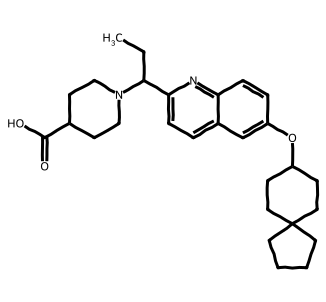 CCC(c1ccc2cc(OC3CCC4(CCCC4)CC3)ccc2n1)N1CCC(C(=O)O)CC1